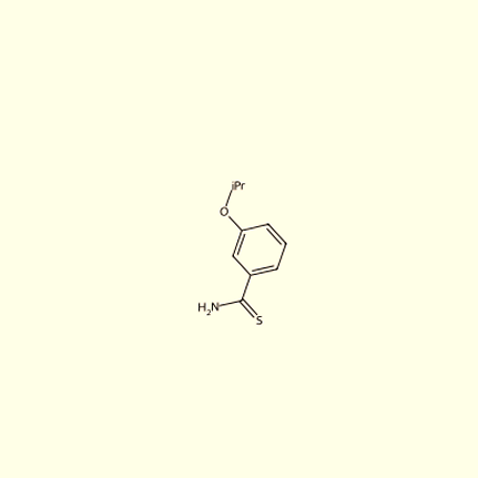 CC(C)Oc1cccc(C(N)=S)c1